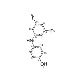 Oc1ccc(Nc2cc(F)cc(F)c2)cc1